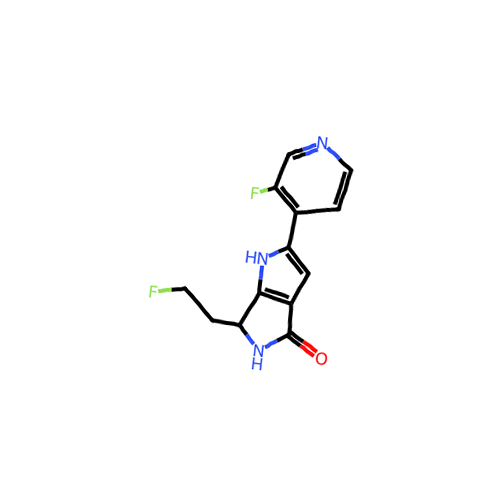 O=C1NC(CCF)c2[nH]c(-c3ccncc3F)cc21